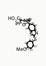 COc1ccc(Sc2nc3ccc(S(=O)(=O)N[C@@H](C(=O)O)C(C)C)cc3s2)cc1